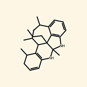 CCCC12c3c(cccc3C(C)C)NC1(C)NC1=C(C(C)CC=C1)C2C(C)C